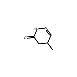 CC1[C]C(=O)NN=C1